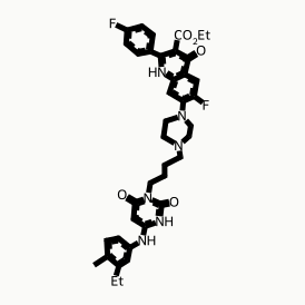 CCOC(=O)c1c(-c2ccc(F)cc2)[nH]c2cc(N3CCN(CCCCn4c(=O)cc(Nc5ccc(C)c(CC)c5)[nH]c4=O)CC3)c(F)cc2c1=O